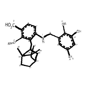 COc1c(C(=O)O)ccc(NCc2cc(C(F)(F)F)cc(Cl)c2O)c1C1CC2CCC1(C)C2(C)C